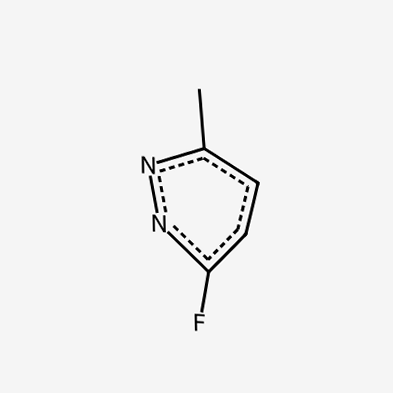 Cc1ccc(F)nn1